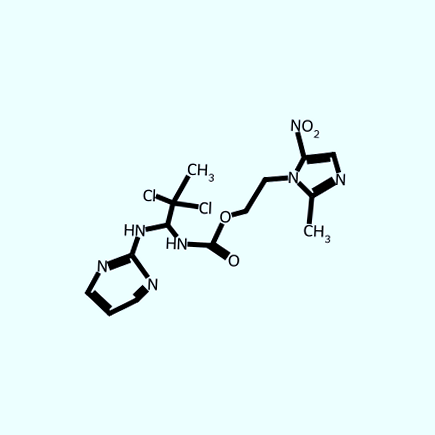 Cc1ncc([N+](=O)[O-])n1CCOC(=O)NC(Nc1ncccn1)C(C)(Cl)Cl